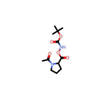 CC(=O)N1CCCC1C(=O)ONC(=O)OC(C)(C)C